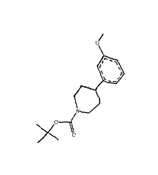 COc1cccc(C2CCN(C(=O)OC(C)(C)C)CC2)c1